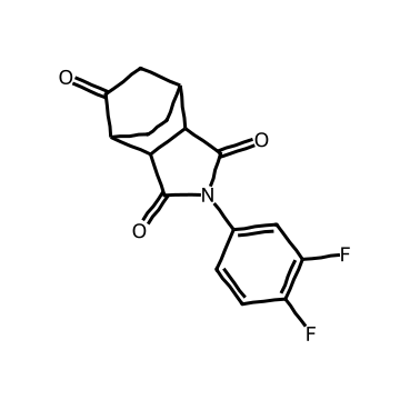 O=C1CC2CCC1C1C(=O)N(c3ccc(F)c(F)c3)C(=O)C21